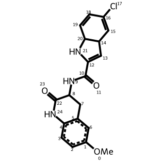 COc1ccc2c(c1)CC(NC(=O)C1=CC3C=C(Cl)C=CC3N1)C(=O)N2